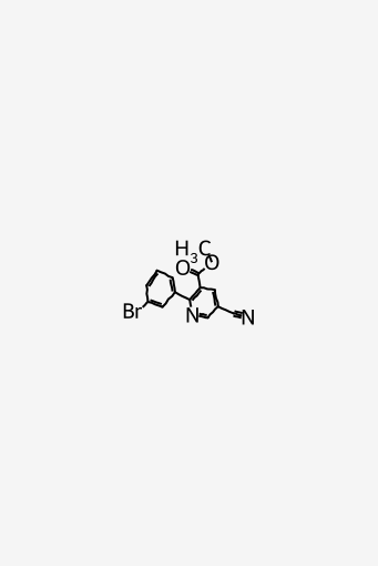 COC(=O)c1cc(C#N)cnc1-c1cccc(Br)c1